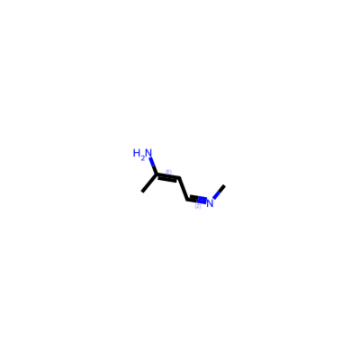 C/N=C\C=C(/C)N